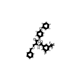 O=C(NC(COCc1ccccc1)C(=O)Nc1ccc(Oc2ccccc2)cc1)c1cc(F)cc(C(F)(F)F)c1